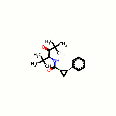 CC(C)(C)C(=O)[C@@H](NC(=O)[C@@H]1C[C@H]1c1ccccc1)C(C)(C)C